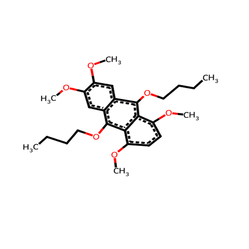 CCCCOc1c2cc(OC)c(OC)cc2c(OCCCC)c2c(OC)ccc(OC)c12